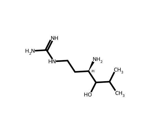 CC(C)C(O)[C@H](N)CCNC(=N)N